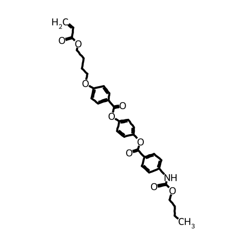 C=CC(=O)OCCCCOc1ccc(C(=O)Oc2ccc(OC(=O)c3ccc(NC(=O)OCCCC)cc3)cc2)cc1